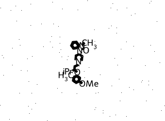 COc1ccc(C)c(OC(CCN2CCC(n3c(=O)n(C)c4ccccc43)CC2)C(C)C)c1